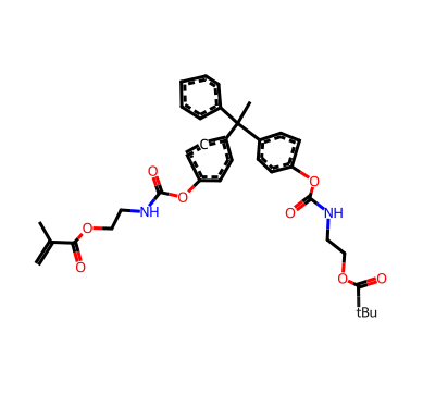 C=C(C)C(=O)OCCNC(=O)Oc1ccc(C(C)(c2ccccc2)c2ccc(OC(=O)NCCOC(=O)C(C)(C)C)cc2)cc1